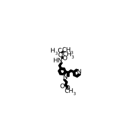 COC(=O)CCn1cc(Cc2cccnc2)c2cc(CCNC(=O)OC(C)(C)C)ccc21